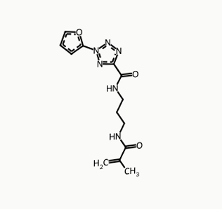 C=C(C)C(=O)NCCCNC(=O)c1nnn(-c2ccco2)n1